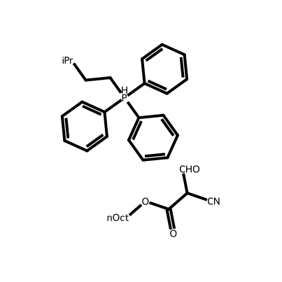 CC(C)CC[PH](c1ccccc1)(c1ccccc1)c1ccccc1.CCCCCCCCOC(=O)C(C#N)C=O